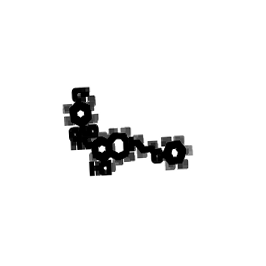 Cl.O=S(=O)(Nc1ccc2c(c1)CCN(CCCOc1ccccc1)CC2)c1ccc(C(F)(F)F)cc1